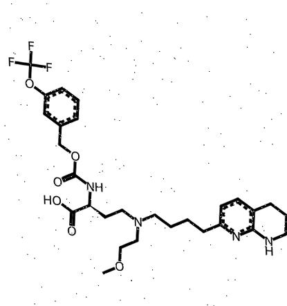 COCCN(CCCCc1ccc2c(n1)NCCC2)CC[C@H](NC(=O)OCc1cccc(OC(F)(F)F)c1)C(=O)O